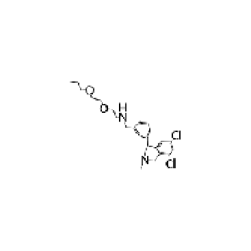 CCCOCCOCCNCc1cccc(C2CN(C)Cc3c(Cl)cc(Cl)cc32)c1